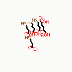 O=C(O)CCCS.O=C(O)CCCS.O=C(O)CCCS.O=C(O)CCCS.OCCCCC(O)CO